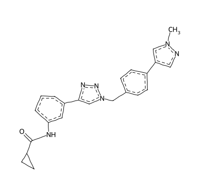 Cn1cc(-c2ccc(Cn3cc(-c4cccc(NC(=O)C5CC5)c4)nn3)cc2)cn1